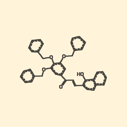 O=C(C=Cc1ccc2ccccc2c1O)c1cc(OCc2ccccc2)c(OCc2ccccc2)c(OCc2ccccc2)c1